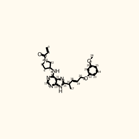 C=CC(=O)N1CCC(Nc2ncnc3[nH]c(C(C)/C=C/COc4cccc(OC)c4)nc23)C1